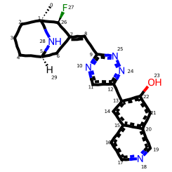 C[C@]12CCC[C@H](C/C(=C\c3ncc(-c4cc5ccncc5cc4O)nn3)[C@@H]1F)N2